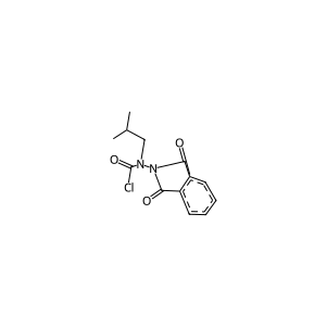 CC(C)CN(C(=O)Cl)N1C(=O)c2ccccc2C1=O